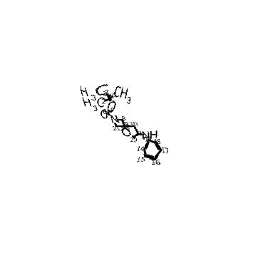 CC(C)(C)OC(=O)N1CC2(CC(Nc3ccccc3)CO2)C1